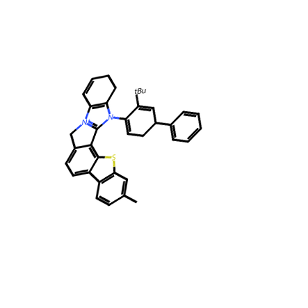 Cc1ccc2c(c1)sc1c3c(ccc12)C[n+]1c2c(n(C4=CCC(c5ccccc5)C=C4C(C)(C)C)c1-3)CCC=C2